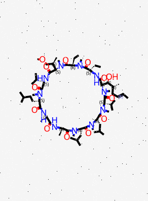 C/C=C/C[C@@H](C)[C@@H](O)[C@H]1C(=O)N[C@@H](CC)C(=O)N(C)[C@H](CC)C(=O)N(C)[C@@H]([C@H](C)COC)C(=O)N[C@@H](C(C)C)C(=O)N(C)[C@@H](CCC(C)C)C(=O)N[C@@H](C)C(=O)N[C@H](C)C(=O)N(C)[C@@H](CC(C)C)C(=O)N(C)[C@@H](CC(C)C)C(=O)N(C)[C@@H](C(C)C)C(=O)N1C